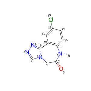 CN1C(=O)Cn2cnnc2-c2cc(Cl)ccc21